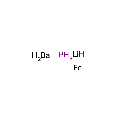 P.[BaH2].[Fe].[LiH]